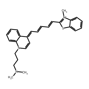 CN(C)CCCN1C=C\C(=C/C=C/C=C/c2sc3ccccc3[n+]2C)c2ccccc21